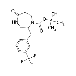 CC(C)(C)OC(=O)N1CCC(=O)NCC1Cc1cccc(C(F)(F)F)c1